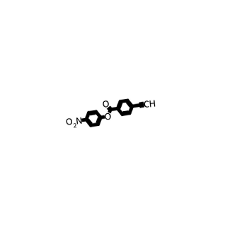 C#Cc1ccc(C(=O)Oc2ccc([N+](=O)[O-])cc2)cc1